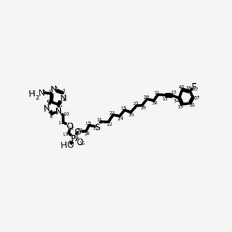 Nc1ncnc2c1ncn2CCOCP(=O)(O)OCCSCCCCCCCCCCCC#Cc1cccc(F)c1